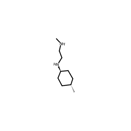 CNCCN[C@H]1CC[C@H](C)CC1